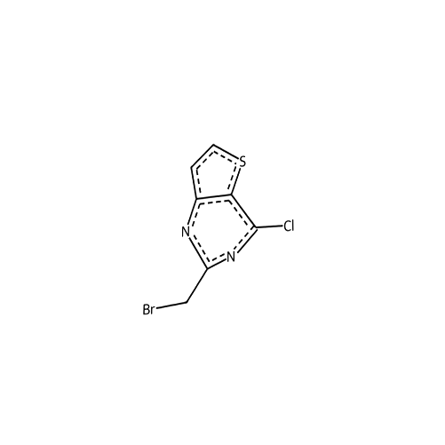 Clc1nc(CBr)nc2ccsc12